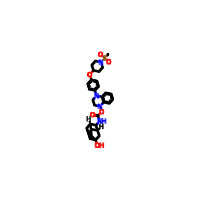 CS(=O)(=O)N1CCC(Oc2ccc(N3CCN(OC(=O)NC4[C@@H]5CC6C[C@H]4CC(O)(C6)C5)c4ccccc43)cc2)CC1